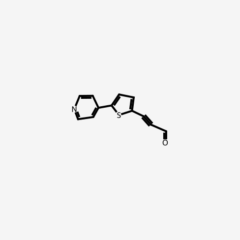 O=CC#Cc1ccc(-c2ccncc2)s1